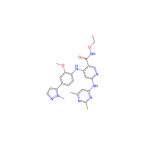 CCONC(=O)c1cnc(Nc2cc(C)nc(C)n2)cc1Nc1ccc(-c2ccnn2C)cc1OC